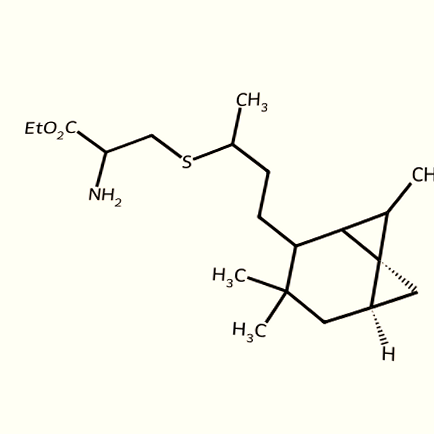 CCOC(=O)C(N)CSC(C)CCC1C2C(C)[C@]23C[C@H]3CC1(C)C